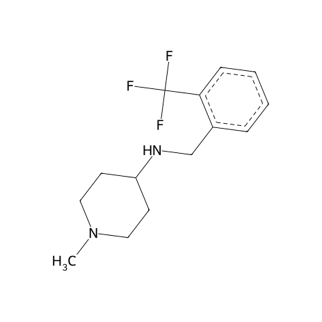 CN1CCC(NCc2ccccc2C(F)(F)F)CC1